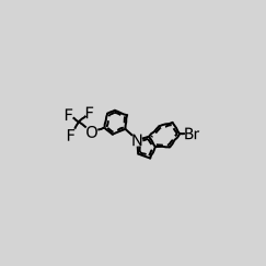 FC(F)(F)Oc1cccc(-n2ccc3cc(Br)ccc32)c1